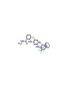 CNC(=O)c1ccccc1Nc1nc(Nc2ccc3c(c2Br)C2CCC3CN(C(=O)C(F)(F)F)C2)ncc1Cl